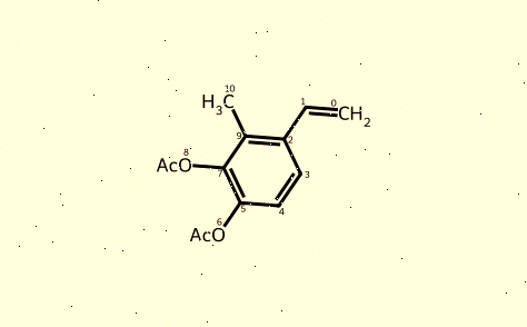 C=Cc1ccc(OC(C)=O)c(OC(C)=O)c1C